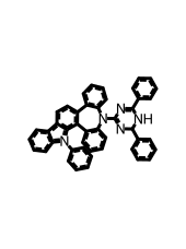 c1ccc(C2=NC(N3c4ccccc4-c4ccc5c6ccccc6n(-c6ccccc6)c5c4-c4ccccc43)=NC(c3ccccc3)N2)cc1